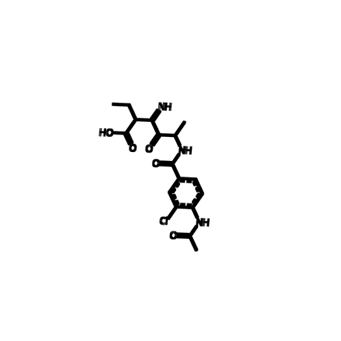 CCC(C(=N)C(=O)C(C)NC(=O)c1ccc(NC(C)=O)c(Cl)c1)C(=O)O